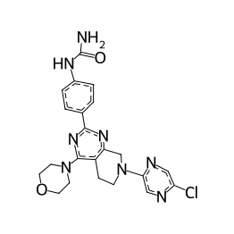 NC(=O)Nc1ccc(-c2nc3c(c(N4CCOCC4)n2)CCN(c2cnc(Cl)cn2)C3)cc1